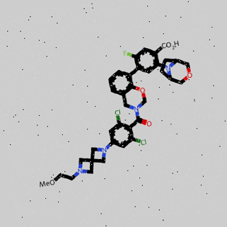 COCCN1CC2(C1)CN(c1cc(Cl)c(C(=O)N3COc4c(cccc4-c4cc(N5C6CCC5COC6)c(C(=O)O)cc4F)C3)c(Cl)c1)C2